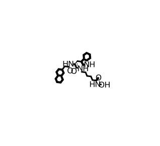 O=C(CCCCCNC(=O)[C@H](Cc1c[nH]c2ccccc12)NC(=O)Cc1ccc2ccccc2c1)NO